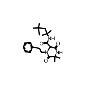 CC(C)(C)CC(C)(C)NC(=O)C1C(=O)NC(C)(C)C(=O)N1CCc1ccccc1